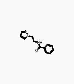 O=C(NCCn1cccn1)c1ccccc1